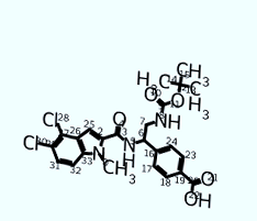 Cn1c(C(=O)NC(CNC(=O)OC(C)(C)C)c2ccc(C(=O)O)cc2)cc2c(Cl)c(Cl)ccc21